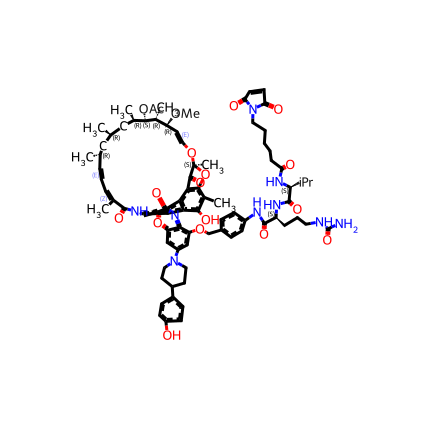 CO[C@H]1/C=C/O[C@@]2(C)Oc3c(C)c(O)c4c(=O)c(c5oc6cc(N7CCC(c8ccc(O)cc8)CC7)cc(OCc7ccc(NC(=O)[C@H](CCCNC(N)=O)NC(=O)[C@@H](NC(=O)CCCCCN8C(=O)C=CC8=O)C(C)C)cc7)c6nc-5c4c3C2=O)NC(=O)/C(C)=C\C=C\[C@H](C)C[C@@H](C)C[C@@H](C)[C@H](OC(C)=O)[C@@H]1C